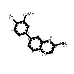 COc1cc(-c2ccc3ncc(N)nc3c2)ccc1O